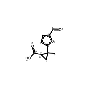 CC1(c2ccc(C=O)o2)C[C@H]1C(=O)O